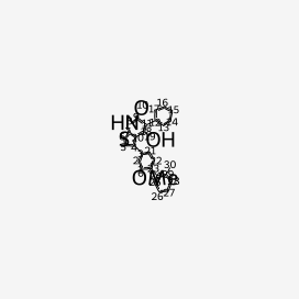 COc1cc(-c2csc3[nH]c(=O)c(-c4ccccc4)c(O)c23)ccc1-c1ccccc1C